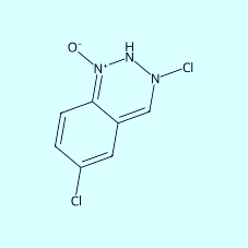 [O-][N+]1=c2ccc(Cl)cc2=CN(Cl)N1